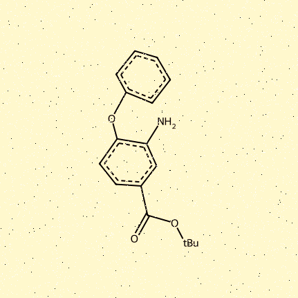 CC(C)(C)OC(=O)c1ccc(Oc2ccccc2)c(N)c1